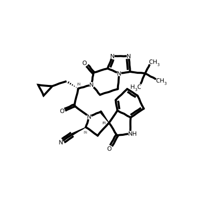 CC(C)(C)c1nnc2n1CCN([C@@H](CC1CC1)C(=O)N1C[C@]3(C[C@H]1C#N)C(=O)Nc1ccccc13)C2=O